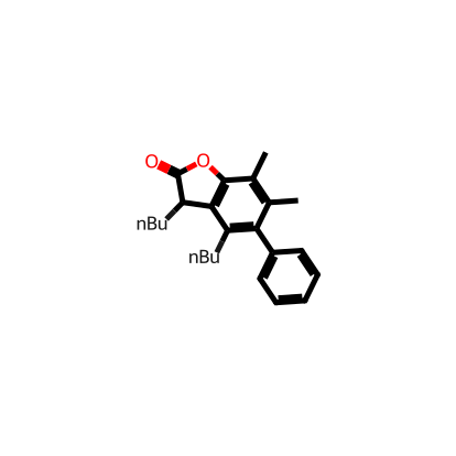 CCCCc1c(-c2ccccc2)c(C)c(C)c2c1C(CCCC)C(=O)O2